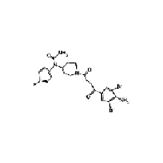 NC(=O)N(c1ccc(F)cc1)C1CCN(C(=O)CCC(=O)c2cc(Br)c(N)c(Br)c2)CC1